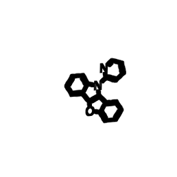 c1ccc(-n2c3ccccc3c3oc4ccccc4c32)nc1